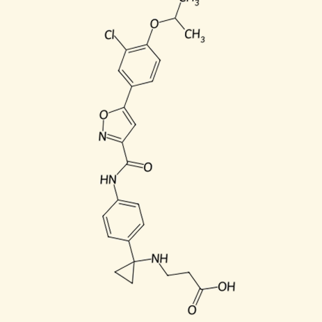 CC(C)Oc1ccc(-c2cc(C(=O)Nc3ccc(C4(NCCC(=O)O)CC4)cc3)no2)cc1Cl